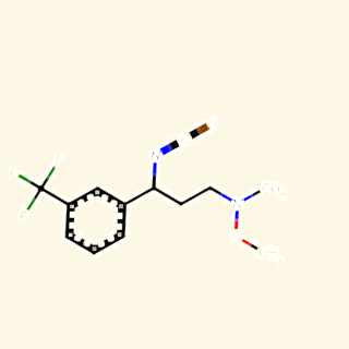 CON(C)CCC(N=C=S)c1cccc(C(F)(F)F)c1